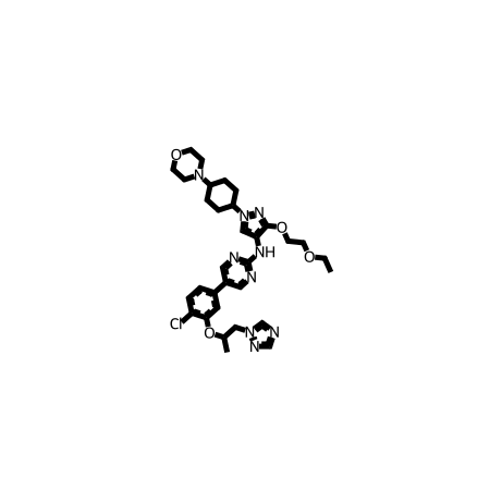 CCOCCOc1nn(C2CCC(N3CCOCC3)CC2)cc1Nc1ncc(-c2ccc(Cl)c(OC(C)Cn3cncn3)c2)cn1